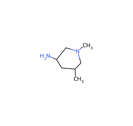 CC1CC(N)CN(C)C1